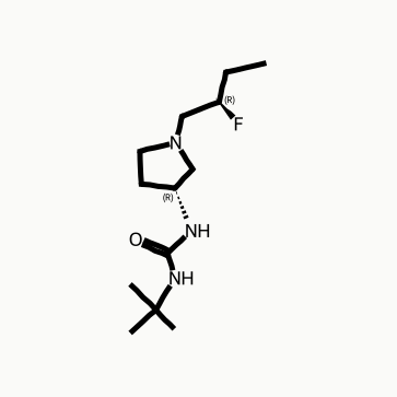 CC[C@@H](F)CN1CC[C@@H](NC(=O)NC(C)(C)C)C1